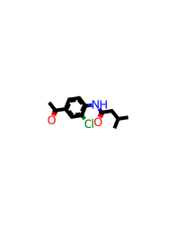 CC(=O)c1ccc(NC(=O)CC(C)C)c(Cl)c1